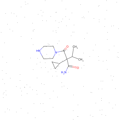 CC(C)C(C(N)=O)(C(=O)N1CCNCC1)C1CC1